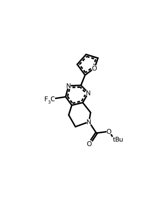 CC(C)(C)OC(=O)N1CCc2c(nc(-c3ccco3)nc2C(F)(F)F)C1